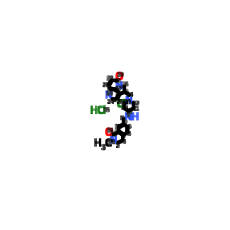 CN1CCc2ccc(CNC3CCN(CC4Cn5c(=O)ccc6ncc(Cl)c4c65)CC3)cc2C1=O.Cl